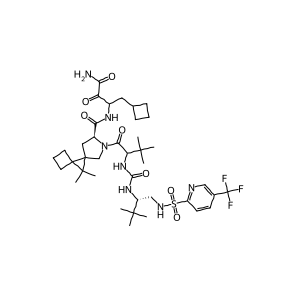 CC(C)(C)C(NC(=O)N[C@H](CNS(=O)(=O)c1ccc(C(F)(F)F)cn1)C(C)(C)C)C(=O)N1CC2(C[C@H]1C(=O)NC(CC1CCC1)C(=O)C(N)=O)C(C)(C)C21CCC1